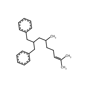 CC(C)=CCCC(C)C[C](Cc1ccccc1)Cc1ccccc1